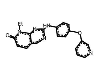 CCn1c(=O)ccc2cnc(Nc3ccc(Oc4cccnc4)cc3)nc21